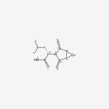 CC(C)C[C@@H](C([NH])=O)N1C(=O)C2OC2C1=O